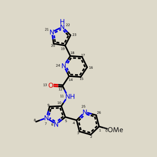 COc1ccc(-c2nn(C)cc2NC(=O)c2cccc(-c3cn[nH]c3)n2)nc1